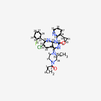 C=CC(=O)N1CCN(c2nc(=O)n(-c3ncccc3C3CC3)c3nc(-c4ccccc4F)c(Cl)cc23)[C@@H](C)C1